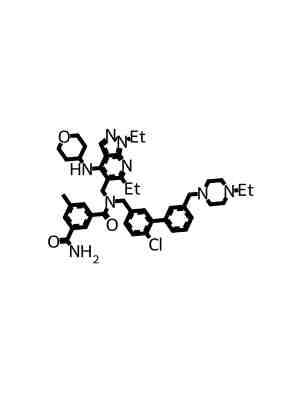 CCc1nc2c(cnn2CC)c(NC2CCOCC2)c1CN(Cc1ccc(Cl)c(-c2cccc(CN3CCN(CC)CC3)c2)c1)C(=O)c1cc(C)cc(C(N)=O)c1